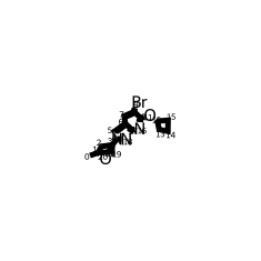 CC12CC(n3cc4cc(Br)c(OC5CCC5)nc4n3)(CO1)C2